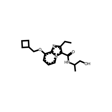 CCc1nc2c(OCC3CCC3)cccn2c1C(=O)NC(C)CO